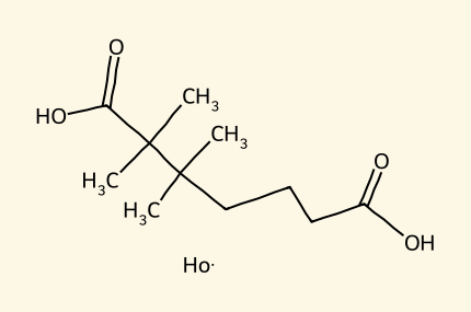 CC(C)(CCCC(=O)O)C(C)(C)C(=O)O.[Ho]